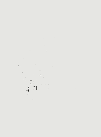 CCCC1=Cc2c(-c3ccc(CCC)cc3)cccc2[CH]1[Zr]([Cl])([Cl])([CH]1C(CCC)=Cc2c(-c3ccc(CCC)cc3)cccc21)[SiH](C)C